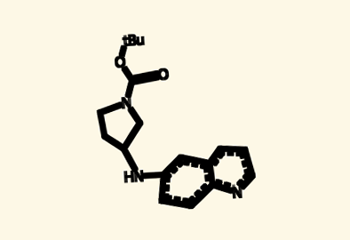 CC(C)(C)OC(=O)N1CCC(Nc2ccc3ncccc3c2)C1